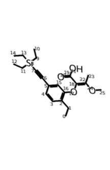 CCc1ccc(C#C[Si](CC)(CC)CC)cc1OC(C(=O)O)=C(C)OC